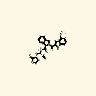 COc1cccc2[nH]c(C(=O)N3Cc4ccccc4C3C(=O)N[C@H](C#N)C[C@@H]3CCNC3=O)cc12